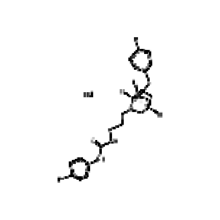 Cl.O=C(NCCCN1C[C@H]2CC[C@@H]1[C@H](Cc1ccc(F)cc1)C2)Nc1ccc(F)cc1